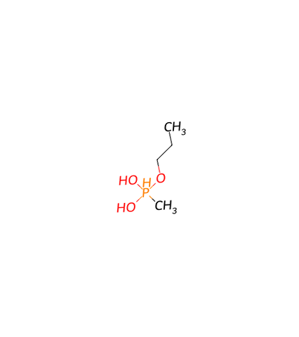 CCCO[PH](C)(O)O